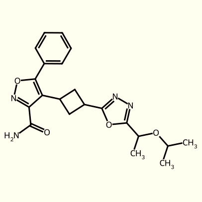 CC(C)OC(C)c1nnc(C2CC(c3c(C(N)=O)noc3-c3ccccc3)C2)o1